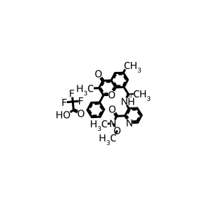 CON(C)C(=O)c1ncccc1N[C@H](C)c1cc(C)cc2c(=O)c(C)c(-c3ccccc3)oc12.O=C(O)C(F)(F)F